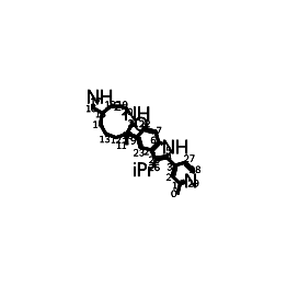 Cc1cc(-c2[nH]c3ccc(C4(C)CCCC(CN)CCNC4=O)cc3c2C(C)C)ccn1